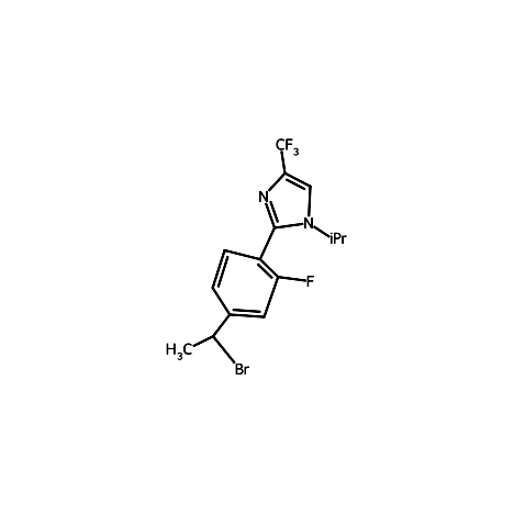 CC(Br)c1ccc(-c2nc(C(F)(F)F)cn2C(C)C)c(F)c1